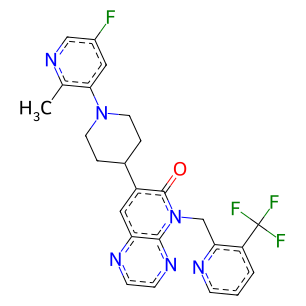 Cc1ncc(F)cc1N1CCC(c2cc3nccnc3n(Cc3ncccc3C(F)(F)F)c2=O)CC1